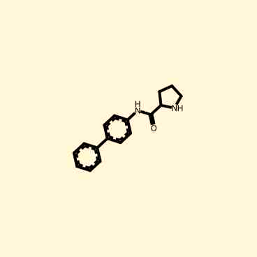 O=C(Nc1ccc(-c2ccccc2)cc1)C1CCCN1